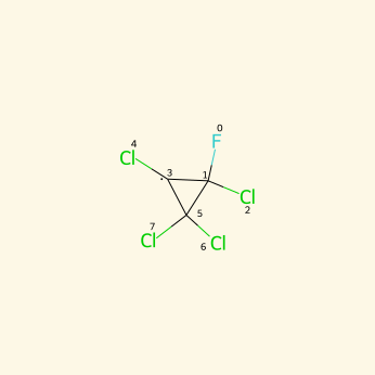 FC1(Cl)[C](Cl)C1(Cl)Cl